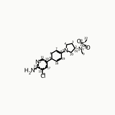 CN([C@H]1CCN(C2=CCC(c3cnc(N)c(Cl)c3)C=C2)C1)S(C)(=O)=O